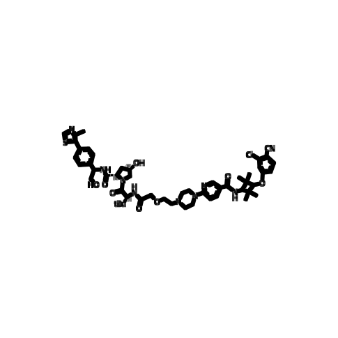 Cc1ncsc1-c1ccc(C(CO)NC(=O)[C@@H]2C[C@@H](O)CN2C(=O)[C@@H](NC(=O)COCCN2CCN(c3ccc(C(=O)NC4C(C)(C)C(Oc5ccc(C#N)c(Cl)c5)C4(C)C)cn3)CC2)C(C)(C)C)cc1